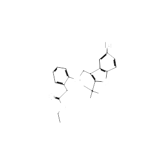 CCOC(=O)Cc1ccccc1OCc1c(C(C)(C)C)oc2ccc(Br)cc12